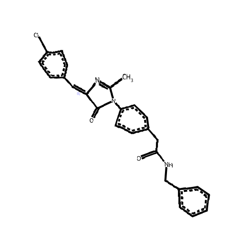 CC1=N/C(=C\c2ccc(Cl)cc2)C(=O)N1c1ccc(CC(=O)NCc2ccccc2)cc1